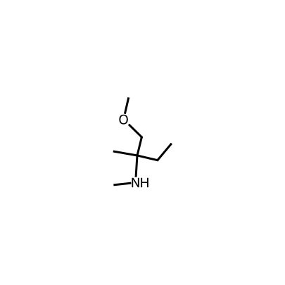 CCC(C)(COC)NC